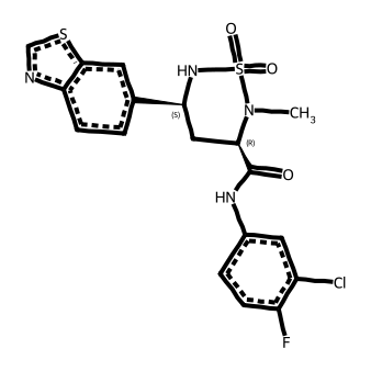 CN1[C@@H](C(=O)Nc2ccc(F)c(Cl)c2)C[C@@H](c2ccc3ncsc3c2)NS1(=O)=O